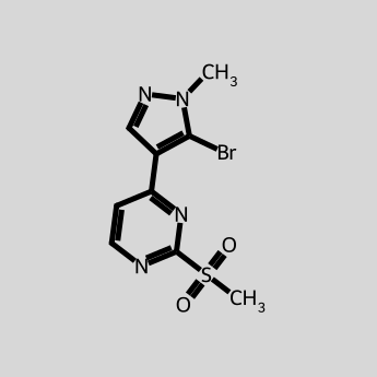 Cn1ncc(-c2ccnc(S(C)(=O)=O)n2)c1Br